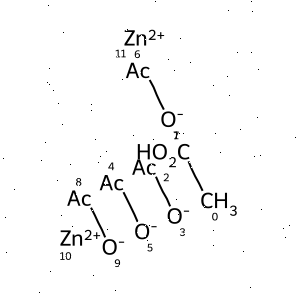 CC(=O)O.CC(=O)[O-].CC(=O)[O-].CC(=O)[O-].CC(=O)[O-].[Zn+2].[Zn+2]